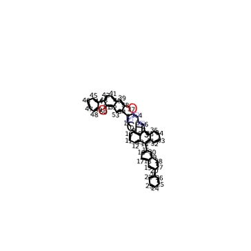 C\C=c1/c(=C\C=C\c2c3ccccc3c(-c3ccc4cc(-c5ccccc5)ccc4c3)c3ccccc23)oc2cc3ccc4c5ccccc5oc4c3cc12